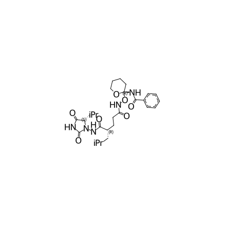 CC(C)C[C@@H](CCC(=O)NO[C@@]1(NC(=O)c2ccccc2)CCCCO1)C(=O)NN1C(=O)NC(=O)[C@@H]1C(C)C